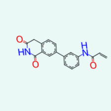 C=CC(=O)Nc1cccc(-c2ccc3c(c2)C(=O)NC(=O)C3)c1